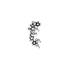 Cc1cccc(N2CCN(CC(O)CNC(=O)c3nc(C)n(-c4ccccc4)c3C)CC2)c1C